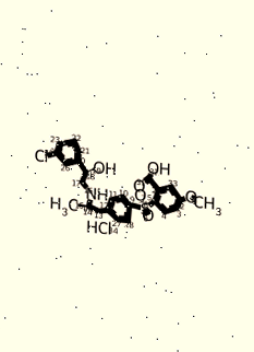 COc1ccc(S(=O)(=O)c2ccc(C[C@@H](C)NC[C@@H](O)c3cccc(Cl)c3)cc2)c(C(=O)O)c1.Cl